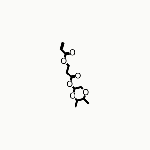 C=CC(=O)OCCC(=O)OC1COC(C)C(C)O1